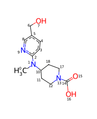 CN(c1ccc(CO)cn1)C1CCN(C(=O)O)CC1